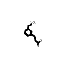 O=C(Cl)/C=C/c1cccc(CC[N+](=O)[O-])c1